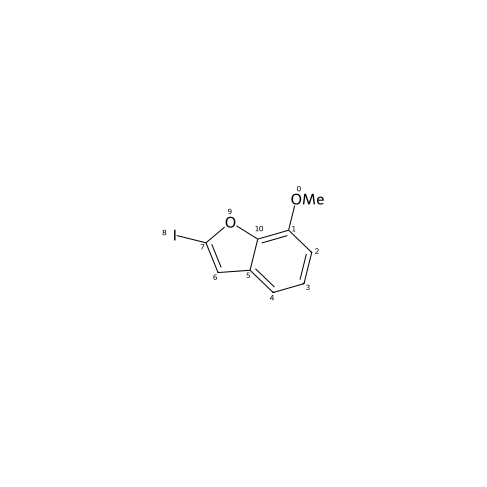 COc1cccc2cc(I)oc12